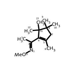 CON=C(C)C1=C(C)CC(C)(C)C1(C)C